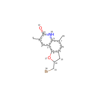 Cc1cc2c3c(cc(C)c2[nH]c1=O)CC(CBr)O3